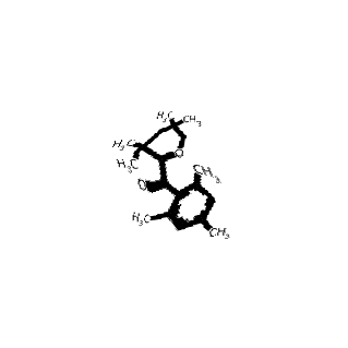 Cc1cc(C)c(C(=O)C2OCC(C)(C)CC2(C)C)c(C)c1